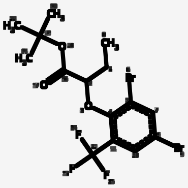 CCC(Oc1c(Br)cc(Br)cc1C(F)(F)F)C(=O)OC(C)(C)C